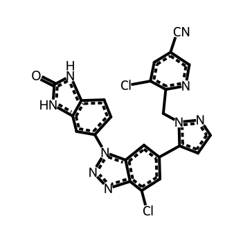 N#Cc1cnc(Cn2nccc2-c2cc(Cl)c3nnn(-c4ccc5[nH]c(=O)[nH]c5c4)c3c2)c(Cl)c1